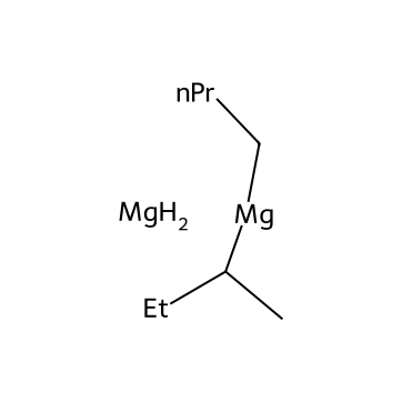 CCC[CH2][Mg][CH](C)CC.[MgH2]